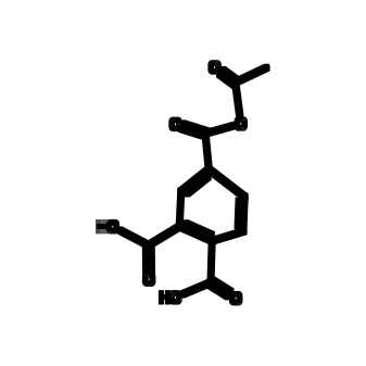 CC(=O)OC(=O)c1ccc(C(=O)O)c(C(=O)O)c1